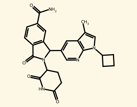 Cc1cn(C2CCC2)c2ncc(C3c4cc(C(N)=O)ccc4C(=O)N3C3CCC(=O)NC3=O)cc12